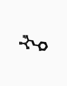 CCN(CC)C(N)C=Cc1ccccn1